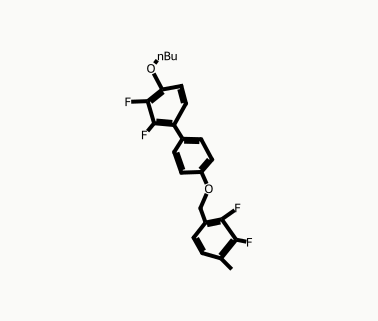 CCCCOc1ccc(-c2ccc(OCc3ccc(C)c(F)c3F)cc2)c(F)c1F